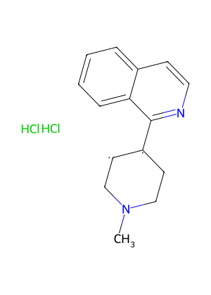 CN1C[CH][C](c2nccc3ccccc23)CC1.Cl.Cl